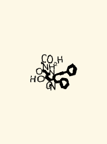 O=C(O)CNC(=O)c1nc(C#Cc2ccccc2)c2c(-c3ccccc3)noc2c1O